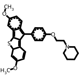 COC1=CC2SC3=c4cc(OC)ccc4=C(c4ccc(OCCN5CCCCC5)cc4)C3=C2C=C1